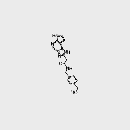 O=C(Cc1nc2cnc3[nH]ccc3c2[nH]1)NCc1ccc(CO)cc1